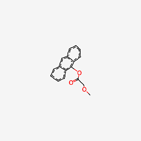 COCC(=O)Oc1c2ccccc2cc2ccccc12